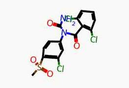 CS(=O)(=O)c1ccc(N(C(N)=O)C(=O)c2c(Cl)cccc2Cl)cc1Cl